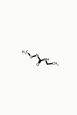 CCNC(=O)[N]SC